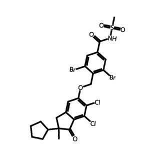 CC1(C2CCCC2)Cc2cc(OCc3c(Br)cc(C(=O)NS(C)(=O)=O)cc3Br)c(Cl)c(Cl)c2C1=O